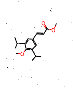 COC(=O)/C=C/c1cc(C(C)C)c(OC)c(C(C)C)c1